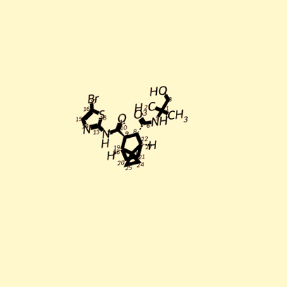 CC(C)(CO)NC(=O)[C@H]1[C@H](C(=O)Nc2ncc(Br)s2)[C@@H]2CC[C@H]1C21CC1